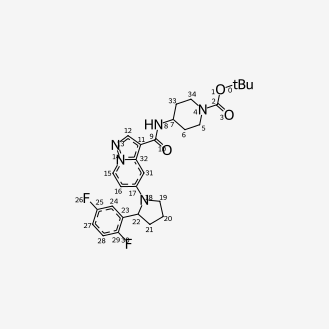 CC(C)(C)OC(=O)N1CCC(NC(=O)c2cnn3ccc(N4CCCC4c4cc(F)ccc4F)cc23)CC1